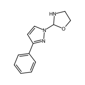 c1ccc(-c2ccn(C3NCCO3)n2)cc1